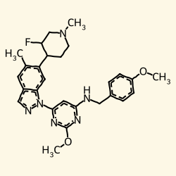 COc1ccc(CNc2cc(-n3ncc4cc(C)c(C5CCN(C)CC5F)cc43)nc(OC)n2)cc1